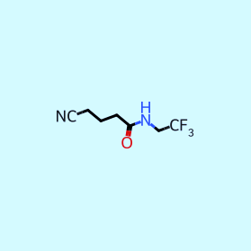 N#CCCCC(=O)NCC(F)(F)F